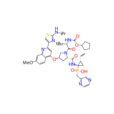 C=C[C@@H]1C[C@]1(NC(=O)[C@@H]1C[C@@H](Oc2cc(-c3csc(NC(C)C)n3)nc3cc(OC)ccc23)CN1C(=O)C(NC(=O)OC1CCCC1)C(C)(C)C)P(=O)(O)Cc1cnccn1